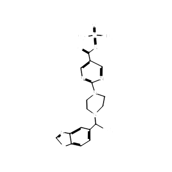 CC(c1ccc2scnc2c1)N1CCN(c2ncc(C(=O)N=S(C)(C)=O)cn2)CC1